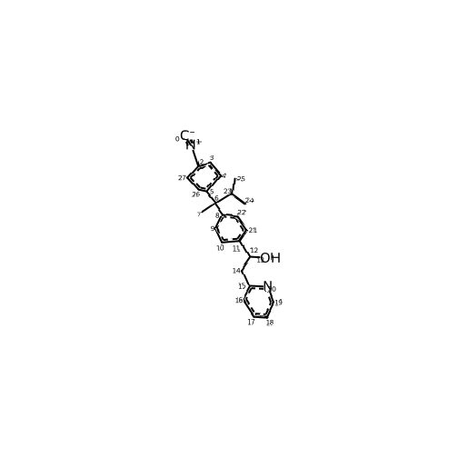 [C-]#[N+]c1ccc(C(C)(c2ccc(C(O)Cc3ccccn3)cc2)C(C)C)cc1